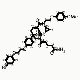 COc1ccc(OCCN(C(=O)C2=CCC3(c4ccc(OCCOc5ccc(Br)cc5)cc4)CN(C(=O)CCCC(N)=O)CC2N3)C2CC2)cc1